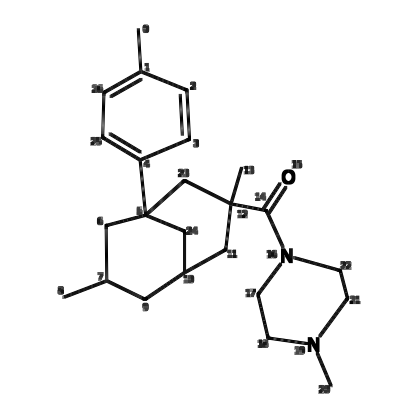 Cc1ccc(C23CC(C)CC(CC(C)(C(=O)N4CCN(C)CC4)C2)C3)cc1